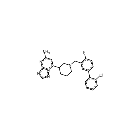 Cc1cc(C2CCCN(Cc3cc(-c4ccccc4Cl)ccc3F)C2)n2ncnc2n1